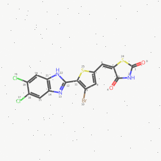 O=C1NC(=O)/C(=C\c2cc(Br)c(-c3nc4cc(Cl)c(Cl)cc4[nH]3)s2)S1